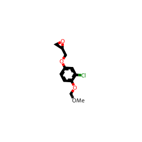 COCOc1ccc(OCC2CO2)cc1Cl